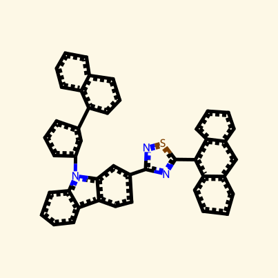 c1cc(-c2cccc3ccccc23)cc(-n2c3ccccc3c3ccc(-c4nsc(-c5c6ccccc6cc6ccccc56)n4)cc32)c1